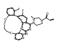 C=CC(=O)N1CCN(c2nc(=O)n3c4nc(c(F)cc24)-c2c(F)cccc2OCCCCc2ccnc(C(C)C)c2-3)[C@@H](C)C1